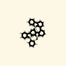 Cn1c2cccc3c4cccc5c6ccccc6n(c6cc7c8ccccc8n(-c8ccccc8)c7c1c6c32)c45